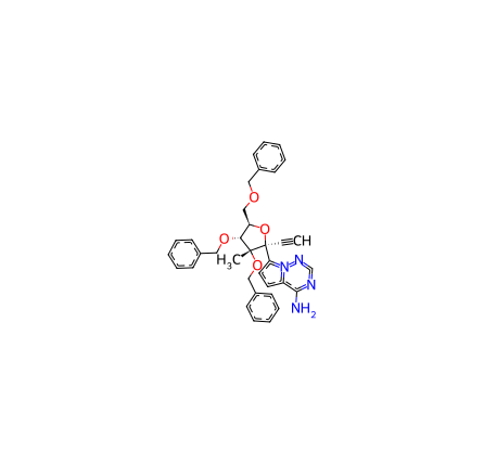 C#C[C@@]1(c2ccc3c(N)ncnn23)O[C@H](COCc2ccccc2)[C@@H](OCc2ccccc2)[C@@]1(C)OCc1ccccc1